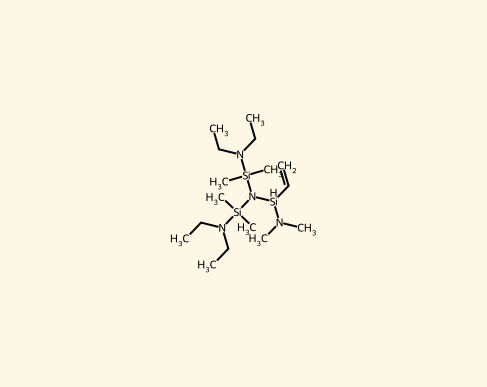 C=C[SiH](N(C)C)N([Si](C)(C)N(CC)CC)[Si](C)(C)N(CC)CC